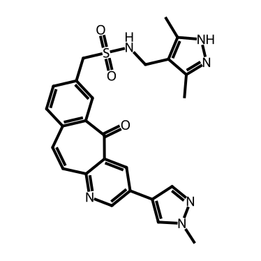 Cc1n[nH]c(C)c1CNS(=O)(=O)Cc1ccc2ccc3ncc(-c4cnn(C)c4)cc3c(=O)c2c1